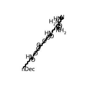 CCCCCCCCCCCCCCCCCC(=O)NCCOCCOCC(=O)CCCOCCOCC(=O)NCCCC[C@H](CC(=O)[C@@H](N)Cc1cnc[nH]1)C(N)=O